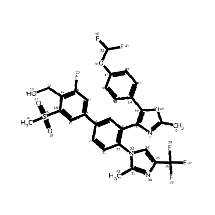 Cc1nc(-c2cc(-c3cc(F)c(CO)c(S(C)(=O)=O)c3)ccc2-n2cc(C(F)(F)F)nc2C)c(-c2ccc(OC(F)F)cc2)o1